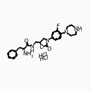 Cl.Cl.N[C@H](Cc1ccccc1)C(=O)NCC1CN(c2ccc(N3CCNCC3)c(F)c2)C(=O)O1